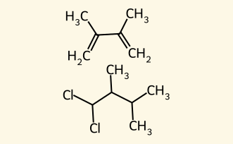 C=C(C)C(=C)C.CC(C)C(C)C(Cl)Cl